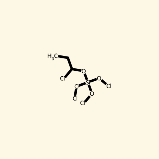 CCC(Cl)O[Si](OCl)(OCl)OCl